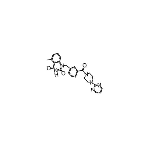 Cc1cccc2c1c(=O)[nH]c(=O)n2Cc1cccc(C(=O)N2CCN(c3ncccn3)CC2)c1